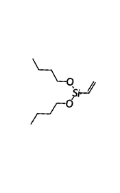 C=C[Si](OCCCC)OCCCC